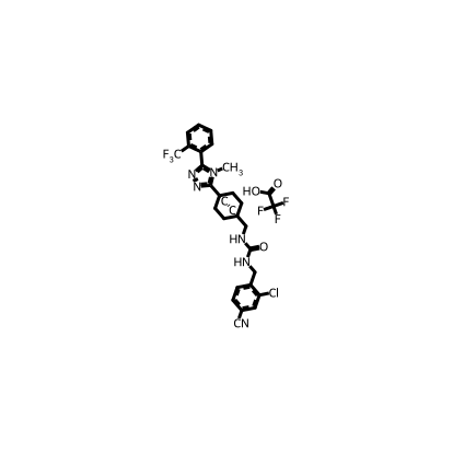 Cn1c(-c2ccccc2C(F)(F)F)nnc1C12CCC(CNC(=O)NCc3ccc(C#N)cc3Cl)(CC1)CC2.O=C(O)C(F)(F)F